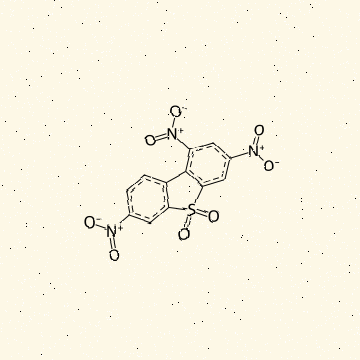 O=[N+]([O-])c1ccc2c(c1)S(=O)(=O)c1cc([N+](=O)[O-])cc([N+](=O)[O-])c1-2